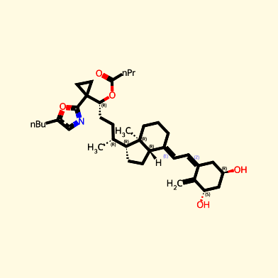 C=C1/C(=C\C=C2/CCC[C@]3(C)[C@@H]([C@H](C)CC[C@@H](OC(=O)CCC)C4(c5ncc(CCCC)o5)CC4)CC[C@@H]23)C[C@@H](O)C[C@@H]1O